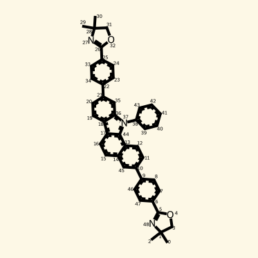 CC1(C)COC(c2ccc(-c3ccc4c(ccc5c6ccc(-c7ccc(C8=NC(C)(C)CO8)cc7)cc6n(-c6ccccc6)c45)c3)cc2)=N1